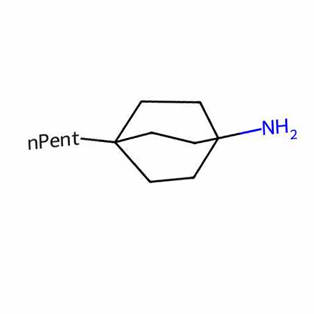 CCCCCC12CCC(N)(CC1)CC2